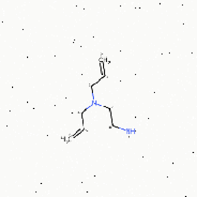 C=CCN(CC=C)CC[NH]